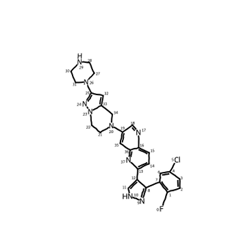 Fc1ccc(Cl)cc1-c1n[nH]cc1-c1ccc2ncc(N3CCn4nc(N5CCNCC5)cc4C3)cc2n1